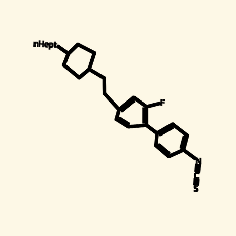 CCCCCCCC1CCC(CCc2ccc(-c3ccc(N=C=S)cc3)c(F)c2)CC1